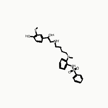 CSc1cc(C(O)CNCCCCN(C)c2ccccc2NS(=O)(=O)c2ccccc2)ccc1O